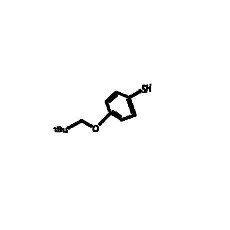 CC(C)(C)COc1ccc(S)cc1